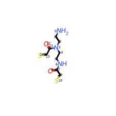 NCCN(CCNC(=O)C=S)C(=O)C=S